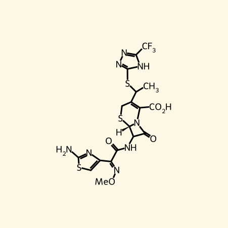 CON=C(C(=O)NC1C(=O)N2C(C(=O)O)=C(C(C)Sc3nnc(C(F)(F)F)[nH]3)CS[C@@H]12)c1csc(N)n1